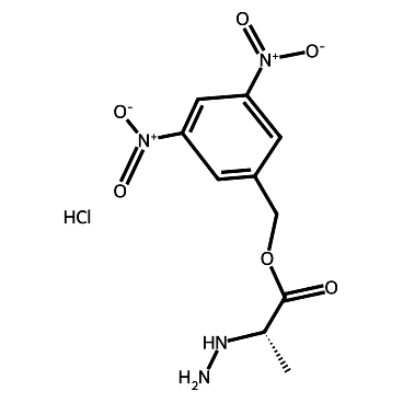 C[C@H](NN)C(=O)OCc1cc([N+](=O)[O-])cc([N+](=O)[O-])c1.Cl